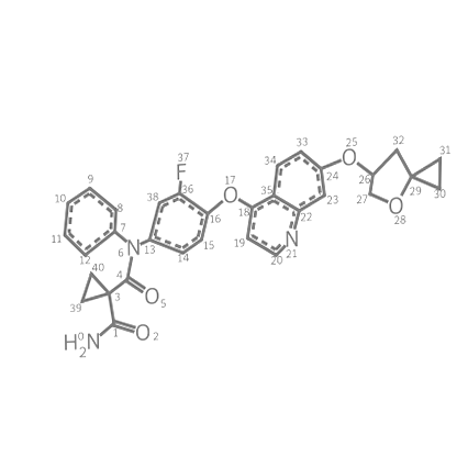 NC(=O)C1(C(=O)N(c2ccccc2)c2ccc(Oc3ccnc4cc(OC5COC6(CC6)C5)ccc34)c(F)c2)CC1